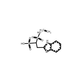 C=C.O=S(=O)(O)C(Cc1nc2ccccc2[nH]1)S(=O)(=O)O